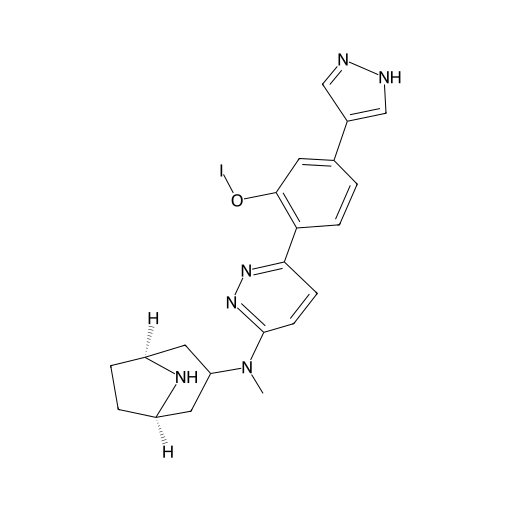 CN(c1ccc(-c2ccc(-c3cn[nH]c3)cc2OI)nn1)C1C[C@H]2CC[C@@H](C1)N2